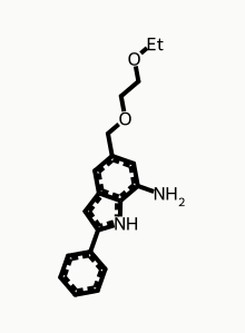 CCOCCOCc1cc(N)c2[nH]c(-c3ccccc3)cc2c1